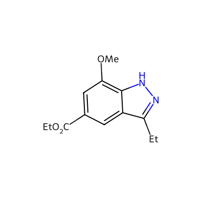 CCOC(=O)c1cc(OC)c2[nH]nc(CC)c2c1